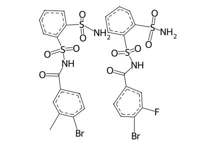 Cc1cc(C(=O)NS(=O)(=O)c2ccccc2S(N)(=O)=O)ccc1Br.NS(=O)(=O)c1ccccc1S(=O)(=O)NC(=O)c1ccc(Br)c(F)c1